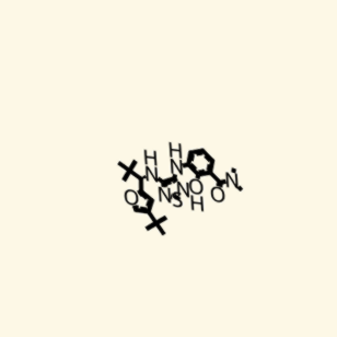 CN(C)C(=O)c1cccc(Nc2nsnc2N[C@@H](c2cc(C(C)(C)C)co2)C(C)(C)C)c1O